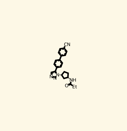 CCC(=O)N[C@H]1CC[C@@H](n2nncc2-c2ccc(-c3ccc(C#N)cc3)cc2)C1